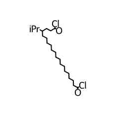 CC(C)C(CCCCCCCCCCCCCCCC(=O)Cl)CCC(=O)Cl